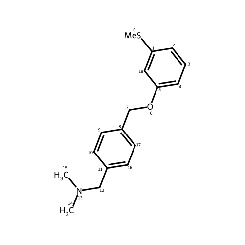 CSc1cccc(OCc2ccc(CN(C)C)cc2)c1